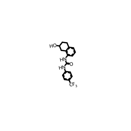 O=C(Nc1ccc(C(F)(F)F)cc1)Nc1cccc2c1CC(O)CC2